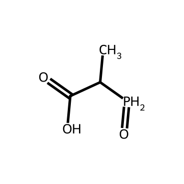 CC([PH2]=O)C(=O)O